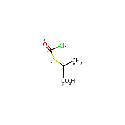 CC(SC(=O)Cl)C(=O)O